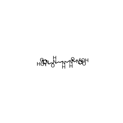 Cc1c(O)c(=O)ccn1CCC(=O)NCCCCNCCCNC(=O)CCn1ccc(=O)c(O)c1C